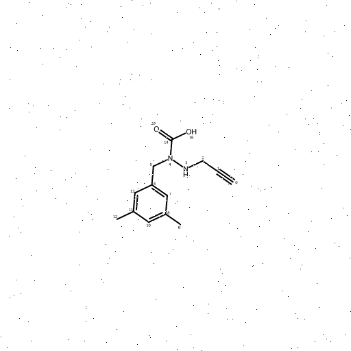 C#CCNN(Cc1cc(C)cc(C)c1)C(=O)O